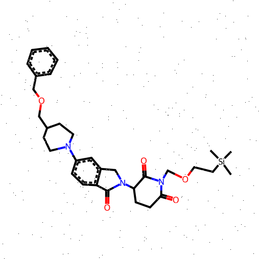 C[Si](C)(C)CCOCN1C(=O)CCC(N2Cc3cc(N4CCC(COCc5ccccc5)CC4)ccc3C2=O)C1=O